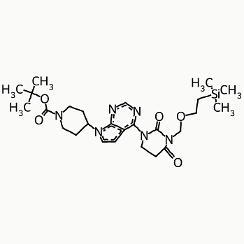 CC(C)(C)OC(=O)N1CCC(n2ccc3c(N4CCC(=O)N(COCC[Si](C)(C)C)C4=O)ncnc32)CC1